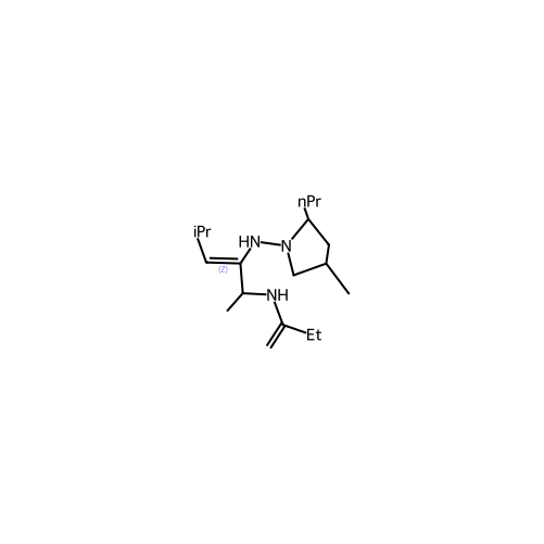 C=C(CC)NC(C)/C(=C/C(C)C)NN1CC(C)CC1CCC